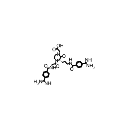 N=C(N)c1ccc(C(=O)NCCC[C@H]2C(=O)N(CC(=O)O)CCN2C(=O)CNC(=O)c2ccc(C(=N)N)cc2)cc1